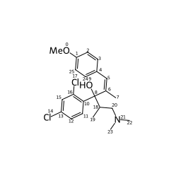 COc1ccc(C=C(C)C(O)(c2ccc(Cl)cc2Cl)C(C)CN(C)C)cc1